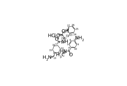 CNC(=O)c1ccc(N)cc1.Cl.NC[C@H]1CC[C@H](C(=O)N[C@@H](Cc2ccccc2)C(=O)O)CC1